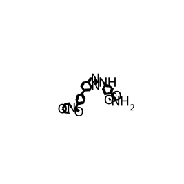 NS(=O)(=O)c1ccc(Nc2ncc3ccc(-c4ccc(C(=O)N5CCOCC5)cc4)cc3n2)cc1